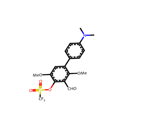 COc1cc(-c2ccc(N(C)C)cc2)c(OC)c(C=O)c1OS(=O)(=O)C(F)(F)F